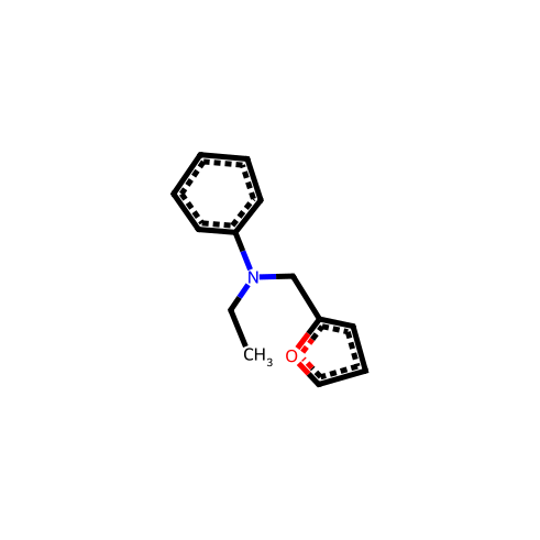 CCN(Cc1ccco1)c1ccccc1